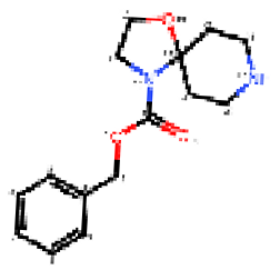 O=C(OCc1ccccc1)N1CCOC12CCNCC2